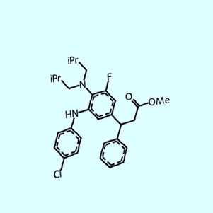 COC(=O)CC(c1ccccc1)c1cc(F)c(N(CC(C)C)CC(C)C)c(Nc2ccc(Cl)cc2)c1